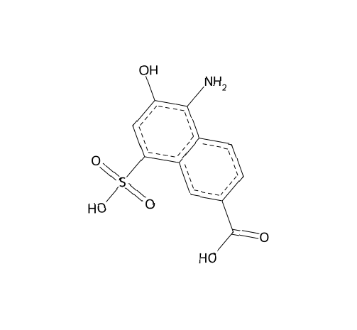 Nc1c(O)cc(S(=O)(=O)O)c2cc(C(=O)O)ccc12